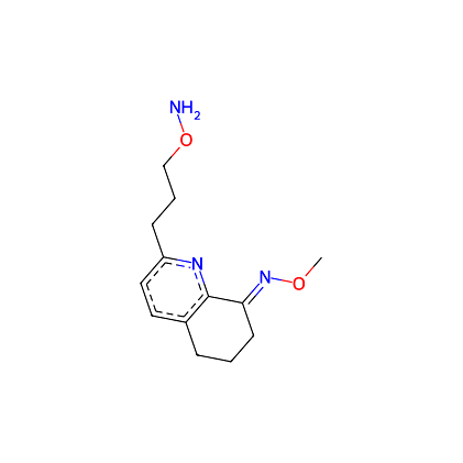 CON=C1CCCc2ccc(CCCON)nc21